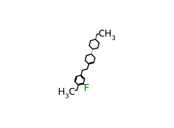 CCc1ccc(CCC2=CCC([C@H]3CC[C@H](CC)CC3)CC2)cc1F